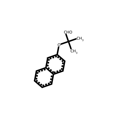 CC(C)(C=O)Oc1[c]c2ccccc2cc1